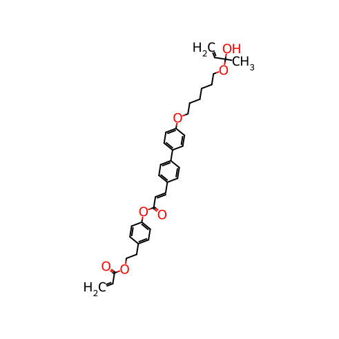 C=CC(=O)OCCc1ccc(OC(=O)/C=C/c2ccc(-c3ccc(OCCCCCCOC(C)(O)C=C)cc3)cc2)cc1